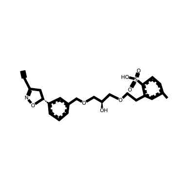 C#CC1=NO[C@@H](c2cccc(COC[C@H](O)COCCc3cc(C)ccc3S(=O)(=O)O)c2)C1